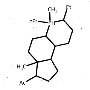 CCC[PH]1(C)C(CC)CCC2C3CCC(C(C)=O)C3(C)CCC21